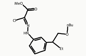 CCCCOCC(CC)c1cccc(NN=C(Cl)C(=O)OC)c1